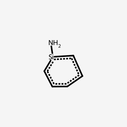 N[si]1ccccc1